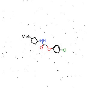 CNC1CCC(NC(=O)COc2ccc(Cl)cc2)C1